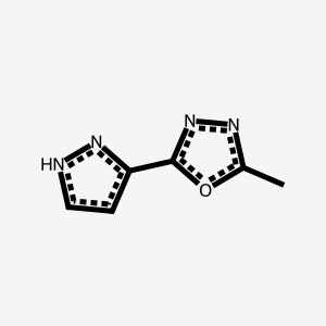 Cc1nnc(-c2cc[nH]n2)o1